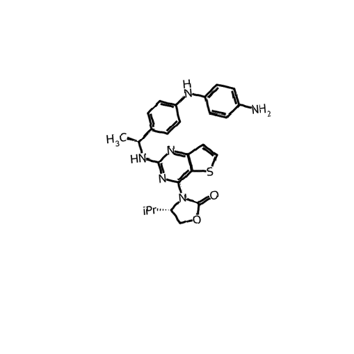 CC(C)[C@H]1COC(=O)N1c1nc(N[C@@H](C)c2ccc(Nc3ccc(N)cc3)cc2)nc2ccsc12